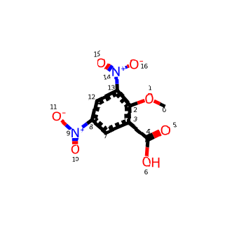 COc1c(C(=O)O)cc([N+](=O)[O-])cc1[N+](=O)[O-]